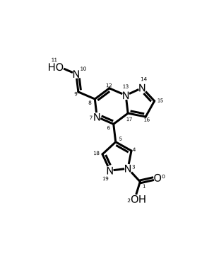 O=C(O)n1cc(-c2nc(C=NO)cn3nccc23)cn1